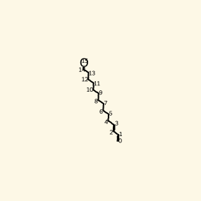 C=C/C=C/CCCCCCCCCCC=O